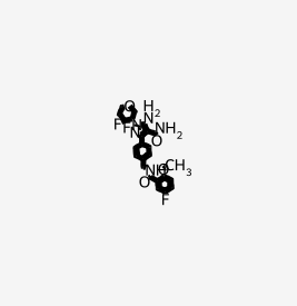 COc1ccc(F)cc1C(=O)NCC1=CCC(c2nn(C3COCCC3(F)F)c(N)c2C(N)=O)C=C1